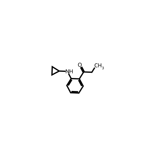 CCC(=O)c1ccccc1NC1CC1